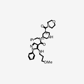 COCCCNc1c(C(=O)N(CC(C)C)[C@@H]2CNC[C@H](C(=O)N3CCOCC3)C2)cnn1-c1ccccc1